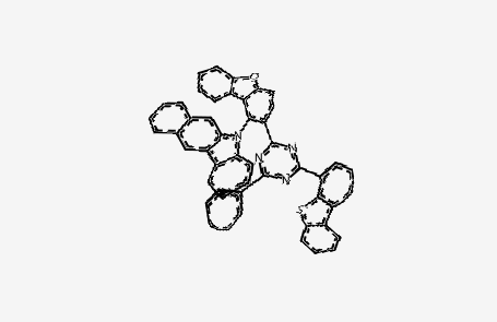 c1ccc(-c2nc(-c3ccc4oc5ccccc5c4c3-n3c4ccccc4c4cc5ccccc5cc43)nc(-c3cccc4c3sc3ccccc34)n2)cc1